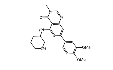 COc1ccc(-c2cc3ncn(C)c(=O)c3c(NC3CCCNC3)n2)cc1OC